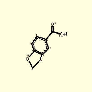 O=C(O)c1ccc2c(c1)[CH]CO2